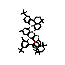 Cc1cc2c3c(c1)N1c4ccc(C(C)(C)C)cc4C4(C)CCC(C)(C)c5ccc(c1c54)B3C1=C(C3C=C(C(C)(C)C)C=CC3S1)N2c1c(C)cc(C(C)(C)C)cc1-c1ccc2c(c1)C(C)(C)CCC2(C)C